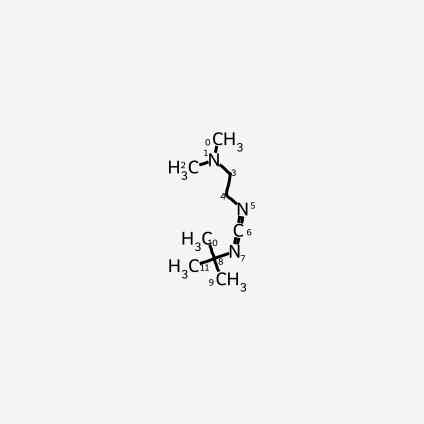 CN(C)CCN=C=NC(C)(C)C